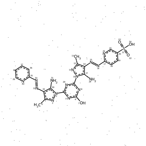 Cc1nn(-c2nc(O)nc(-n3nc(C)c(N=Nc4ccc(S(=O)(=O)O)cn4)c3N)n2)c(N)c1N=Nc1ccccn1